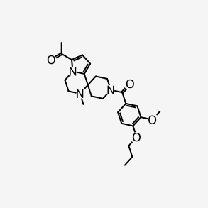 CCCOc1ccc(C(=O)N2CCC3(CC2)c2ccc(C(C)=O)n2CCN3C)cc1OC